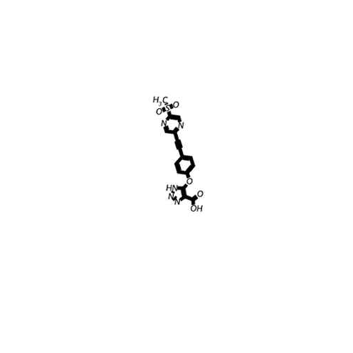 CS(=O)(=O)c1cnc(C#Cc2ccc(Oc3[nH]nnc3C(=O)O)cc2)cn1